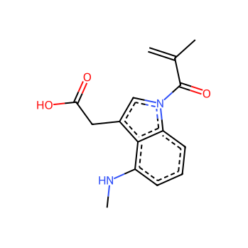 C=C(C)C(=O)n1cc(CC(=O)O)c2c(NC)cccc21